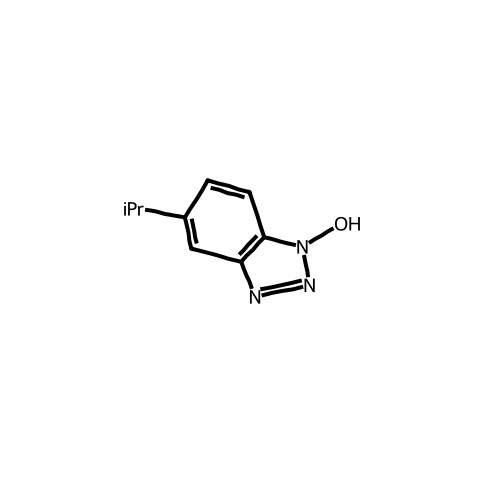 CC(C)c1ccc2c(c1)nnn2O